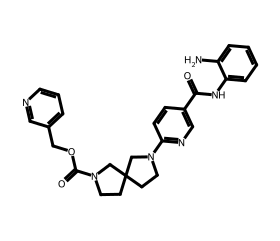 Nc1ccccc1NC(=O)c1ccc(N2CCC3(CCN(C(=O)OCc4cccnc4)C3)C2)nc1